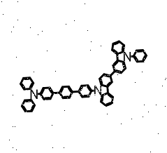 c1ccc(N(c2ccccc2)c2ccc(-c3ccc(-c4ccc(-n5c6ccccc6c6cc(-c7ccc8c(c7)c7ccccc7n8-c7ccccc7)ccc65)cc4)cc3)cc2)cc1